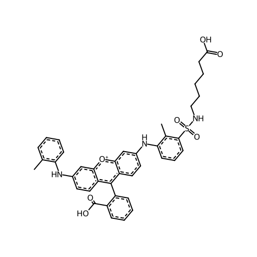 Cc1ccccc1Nc1ccc2c(-c3ccccc3C(=O)O)c3ccc(Nc4cccc(S(=O)(=O)NCCCCCC(=O)O)c4C)cc3[o+]c2c1